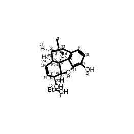 CCO.CN1CC[C@]23c4c5ccc(O)c4O[C@H]2[C@@H](O)C=C[C@H]3[C@H]1C5